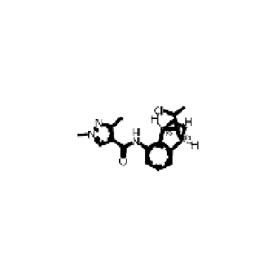 Cc1nn(C)cc1C(=O)Nc1cccc2c1[C@H]1CC[C@@H]2[C@H]1C(C)Cl